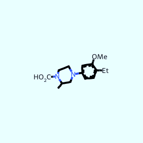 CCc1ccc(N2CCN(C(=O)O)C(C)C2)cc1OC